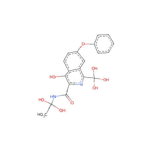 O=C(NC(O)(O)C(=O)O)c1nc(C(O)(O)O)c2cc(Oc3ccccc3)ccc2c1O